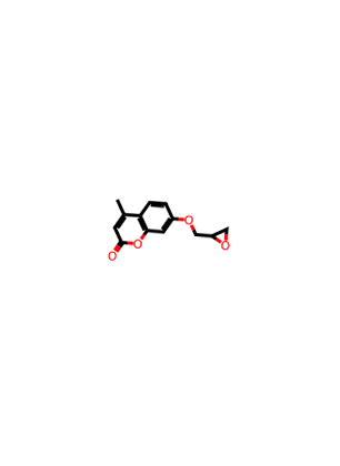 Cc1cc(=O)oc2cc(OCC3CO3)ccc12